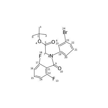 CC(C)(C)OC(=O)CN(C(=O)c1c(F)cccc1F)c1cccc(Br)c1